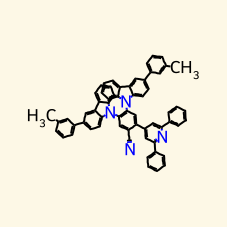 Cc1cccc(-c2ccc3c(c2)c2ccccc2n3-c2cc(C#N)c(-c3cc(-c4ccccc4)nc(-c4ccccc4)c3)cc2-n2c3ccccc3c3cc(-c4cccc(C)c4)ccc32)c1